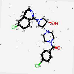 O=C(c1ccc(Cl)cc1)N1CCN([C@@H]2CN(c3nccc4cc(Cl)ccc34)C[C@H]2O)CC1